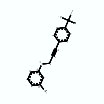 FC(F)(F)c1ccc(C#CCOc2cccc(Br)c2)cc1